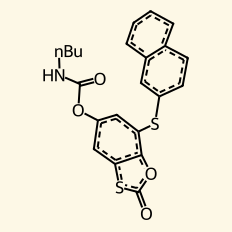 CCCCNC(=O)Oc1cc(Sc2ccc3ccccc3c2)c2oc(=O)sc2c1